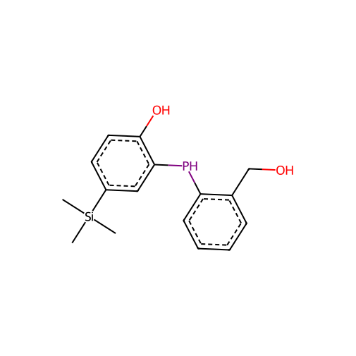 C[Si](C)(C)c1ccc(O)c(Pc2ccccc2CO)c1